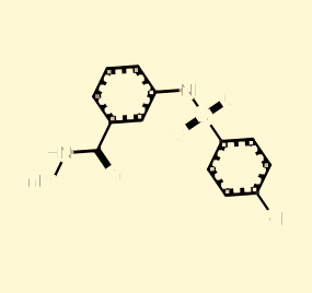 CCCNC(=O)c1cccc(NS(=O)(=O)c2ccc(Cl)cc2)c1